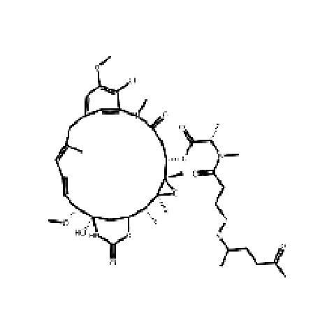 COc1cc2cc(c1Cl)N(C)C(=O)C[C@H](OC(=O)[C@H](C)N(C)C(=O)CCSSC(C)CCC(C)=O)[C@]1(C)O[C@H]1[C@H](C)C1C[C@@](O)(NC(=O)O1)[C@H](OC)/C=C/C=C(\C)C2